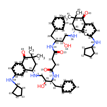 CC1(C)C[C@H](NC[C@H](O)[C@H](Cc2ccccc2)NC(=O)CCC(=O)N[C@@H](Cc2ccccc2)[C@@H](O)CN[C@@H]2CC(C)(C)C(=O)c3ccc(NC4CCCC4)cc32)c2cc(NC3CCCC3)ccc2C1=O